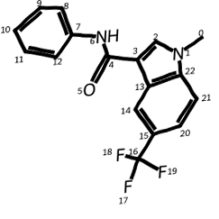 Cn1cc(C(=O)Nc2ccccc2)c2cc(C(F)(F)F)ccc21